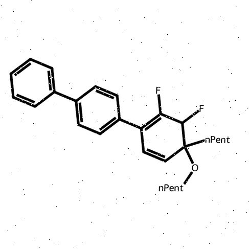 CCCCCOC1(CCCCC)C=CC(c2ccc(-c3ccccc3)cc2)=C(F)C1F